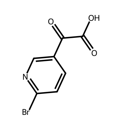 O=C(O)C(=O)c1ccc(Br)nc1